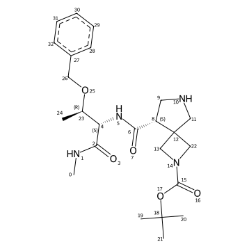 CNC(=O)[C@@H](NC(=O)[C@@H]1CNCC12CN(C(=O)OC(C)(C)C)C2)[C@@H](C)OCc1ccccc1